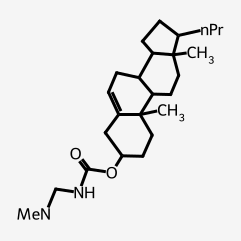 CCCC1CCC2C3CC=C4CC(OC(=O)NCNC)CCC4(C)C3CCC12C